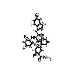 NC(=O)c1cc(-c2cccnc2[C@H](Cc2cc(F)cc(F)c2)NC(=O)Cn2ccc3cc(Cl)ccc32)ccc1F